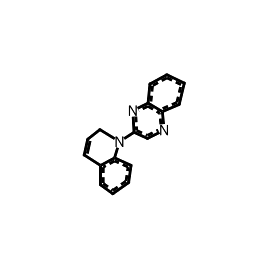 C1=Cc2ccccc2N(c2cnc3ccccc3n2)C1